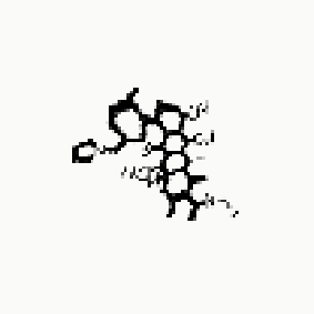 C=C(N)C1=C(C)C[C@H]2C(C1=C)[C@@H](C)C1C(O)C3C(O)C=CC(C4CC(CN5CCCC5)CC=C4C)C3C(=S)C1[C@@H]2O